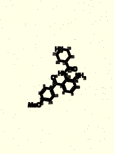 COc1ccc(C(=O)c2cccc(N)c2NC(=O)C2CCNCC2)cc1